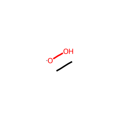 CC.[O]O